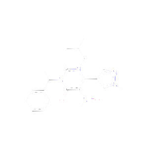 CC(C)Cn1c(-c2cnn(C)c2)c([N+](=O)[O-])c(=O)n(C(C)c2ccccc2)c1=O